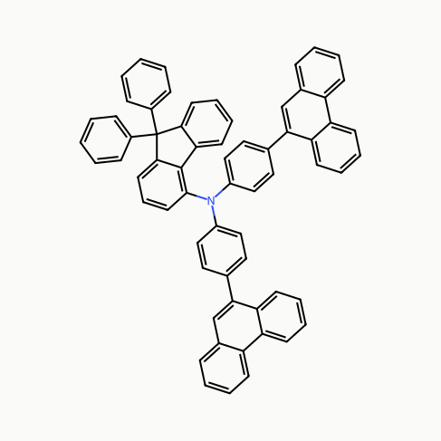 c1ccc(C2(c3ccccc3)c3ccccc3-c3c(N(c4ccc(-c5cc6ccccc6c6ccccc56)cc4)c4ccc(-c5cc6ccccc6c6ccccc56)cc4)cccc32)cc1